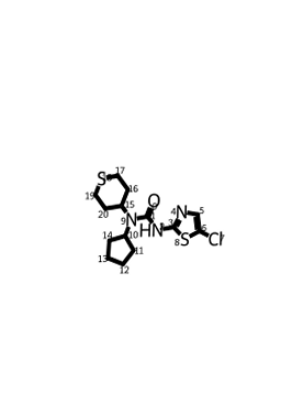 O=C(Nc1ncc(Cl)s1)N(C1CCCC1)C1CCSCC1